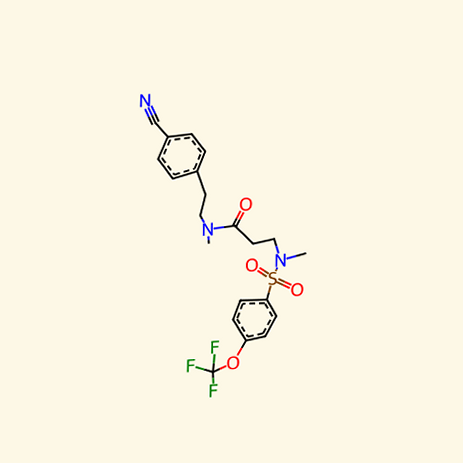 CN(CCc1ccc(C#N)cc1)C(=O)CCN(C)S(=O)(=O)c1ccc(OC(F)(F)F)cc1